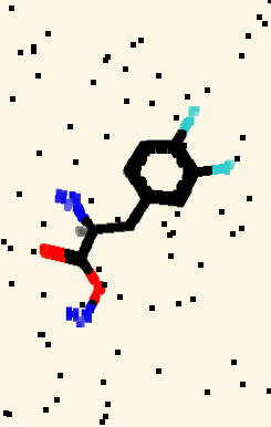 NOC(=O)[C@@H](N)Cc1ccc(F)c(F)c1